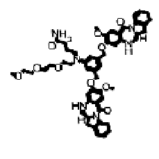 COCCOCCOCCN(CCCC(N)=O)c1cc(COc2cc3c(cc2OC)C(=O)N2C4=C(CCC=C4)C[C@H]2CN3)cc(COc2cc3c(cc2OC)C(=O)N2c4ccccc4C[C@H]2CN3)c1